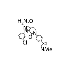 CNCC1(c2ccc(N3CCc4c(C(N)=O)nn(-c5cccc(Cl)c5)c4C3=O)cc2)CC1